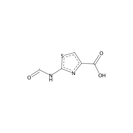 O=[C]Nc1nc(C(=O)O)cs1